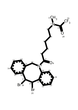 CN(CCCCCC(=O)N1Cc2ccccc2C(Br)C(Br)c2ccccc21)C(=O)C(F)(F)F